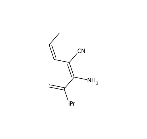 C=C(/C(N)=C(C#N)\C=C/C)C(C)C